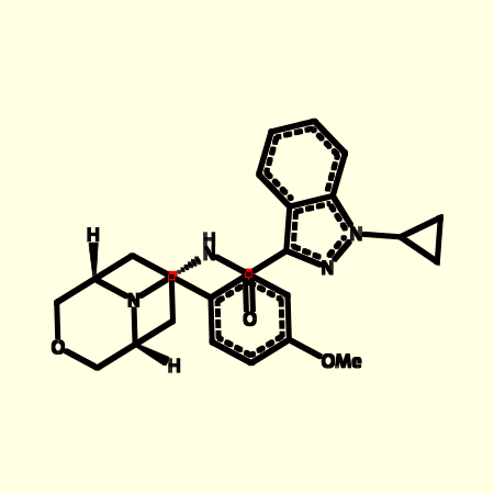 COc1ccc(CN2[C@@H]3COC[C@H]2C[C@@H](NC(=O)c2nn(C4CC4)c4ccccc24)C3)cc1